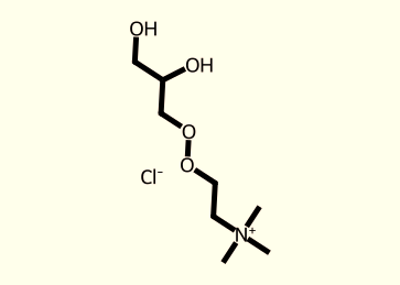 C[N+](C)(C)CCOOCC(O)CO.[Cl-]